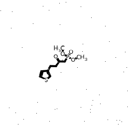 COP(=O)(CC(=O)CCc1ccsc1)OC